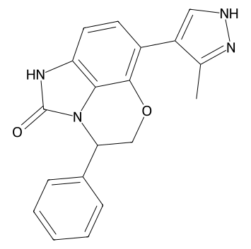 Cc1n[nH]cc1-c1ccc2[nH]c(=O)n3c2c1OCC3c1ccccc1